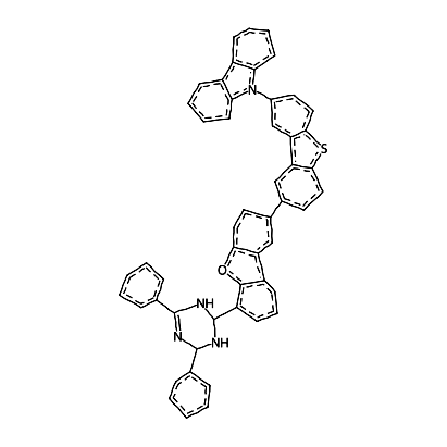 c1ccc(C2=NC(c3ccccc3)NC(c3cccc4c3oc3ccc(-c5ccc6sc7ccc(-n8c9ccccc9c9ccccc98)cc7c6c5)cc34)N2)cc1